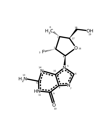 C[C@H]1[C@@H](F)[C@H](n2cnc3c(=O)[nH]c(N)nc32)O[C@@H]1CO